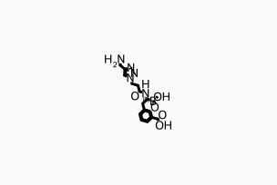 NCc1cn(CCC(=O)N[C@H]2Cc3cccc(C(=O)O)c3OB2O)nn1